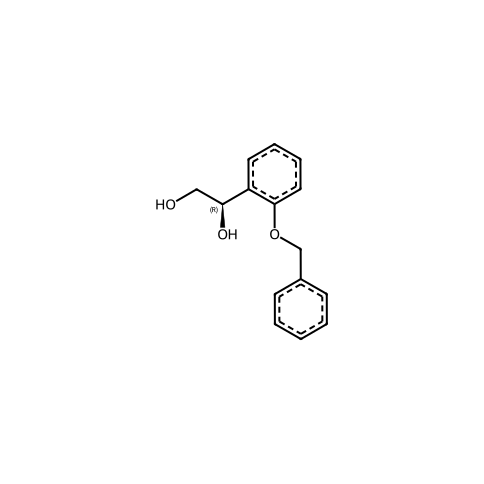 OC[C@H](O)c1ccccc1OCc1ccccc1